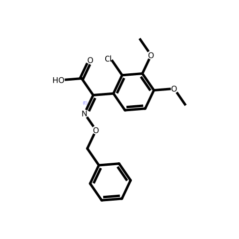 COc1ccc(/C(=N\OCc2ccccc2)C(=O)O)c(Cl)c1OC